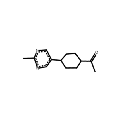 CC(=O)C1CCC(c2cnc(C)nc2)CC1